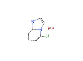 Br.Clc1cccc2nccn12